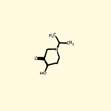 CC(C)N1CCC(O)C(=O)C1